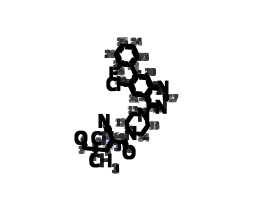 CC(C)(C=O)/C=C(\C#N)C(=O)N1CCN(c2ncnc3cc(-c4ccccc4F)c(Cl)cc23)CC1